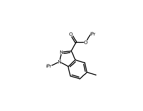 Cc1ccc2c(c1)c(C(=O)OC(C)C)nn2C(C)C